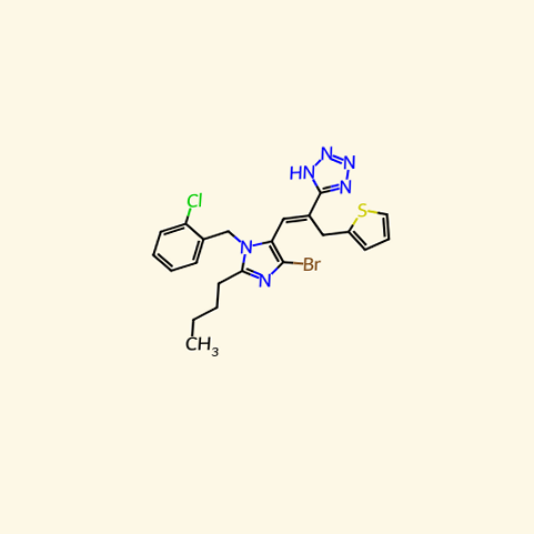 CCCCc1nc(Br)c(C=C(Cc2cccs2)c2nnn[nH]2)n1Cc1ccccc1Cl